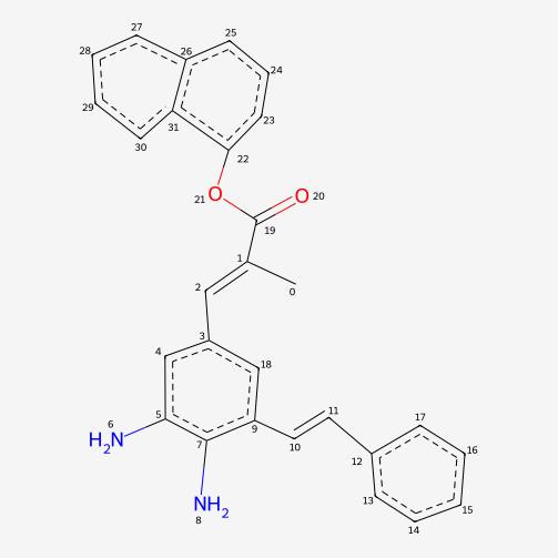 CC(=Cc1cc(N)c(N)c(C=Cc2ccccc2)c1)C(=O)Oc1cccc2ccccc12